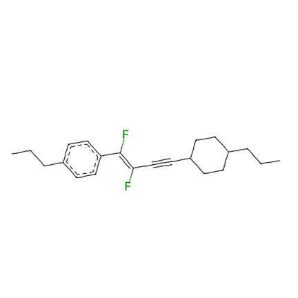 CCCc1ccc(C(F)=C(F)C#CC2CCC(CCC)CC2)cc1